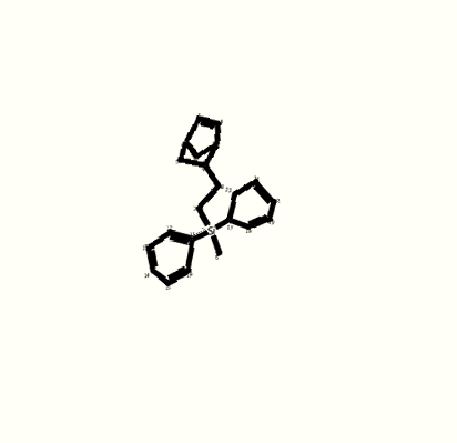 C[Si](CCC1CC2C=CC1C2)(c1ccccc1)C1C=CC=CC1